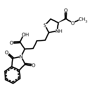 COC(=O)[C@@H]1CSC(CCCC(C(=O)O)N2C(=O)c3ccccc3C2=O)N1